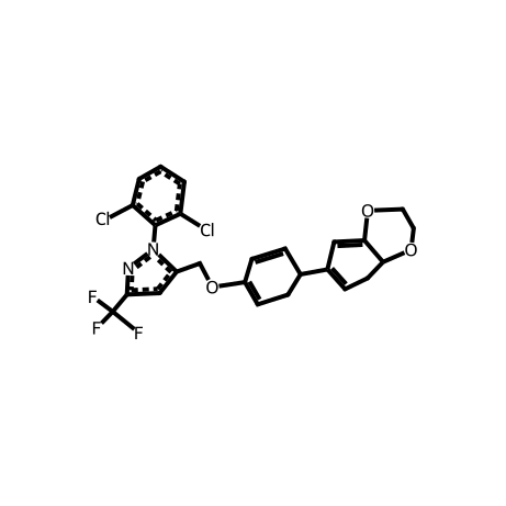 FC(F)(F)c1cc(COC2=CCC(C3=CCC4OCCOC4=C3)C=C2)n(-c2c(Cl)cccc2Cl)n1